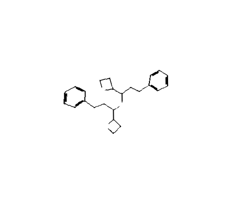 c1ccc(CCC(OC(CCc2ccccc2)C2CCO2)C2CCO2)cc1